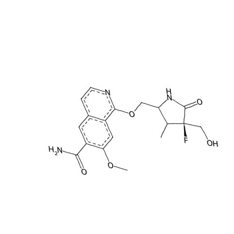 COc1cc2c(OCC3NC(=O)[C@](F)(CO)C3C)nccc2cc1C(N)=O